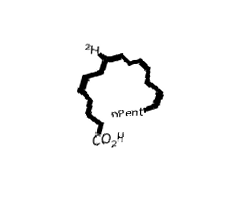 [2H]/C(=C/C/C=C\C/C=C\CCCCC)C/C=C\CCCC(=O)O